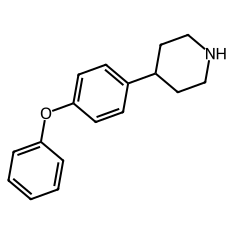 c1ccc(Oc2ccc(C3CCNCC3)cc2)cc1